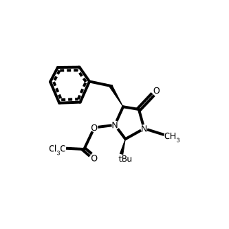 CN1C(=O)[C@H](Cc2ccccc2)N(OC(=O)C(Cl)(Cl)Cl)[C@@H]1C(C)(C)C